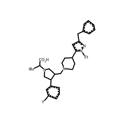 CCC(C)C(C(=O)O)N1CC(CN2CCC(c3cc(Cc4ccccc4)nn3CC)CC2)C(c2cccc(F)c2)C1